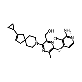 Cc1nc(N2CCC3(CC=C(C4CC4)C3)CC2)c(CO)nc1Sc1ccnc(N)c1Cl